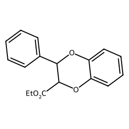 CCOC(=O)C1Oc2ccccc2OC1c1ccccc1